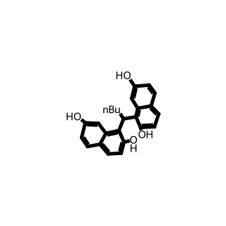 CCCCC(c1c(O)ccc2ccc(O)cc12)c1c(O)ccc2ccc(O)cc12